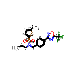 CCCN(Cc1ccc(-c2noc(C(F)(F)F)n2)cc1)S(=O)(=O)c1ccc(C)s1